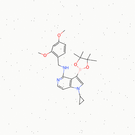 COc1ccc(CNc2nccc3c2c(B2OC(C)(C)C(C)(C)O2)cn3C2CC2)c(OC)c1